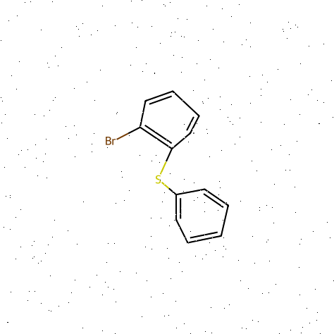 Brc1ccc[c]c1Sc1ccccc1